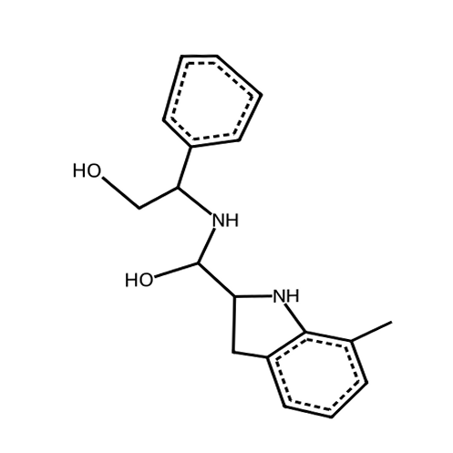 Cc1cccc2c1NC(C(O)NC(CO)c1ccccc1)C2